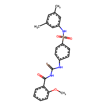 COc1ccccc1C(=O)NC(=S)Nc1ccc(S(=O)(=O)Nc2cc(C)cc(C)c2)cc1